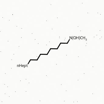 CCCCCCCCCCCCCCCN(C)O